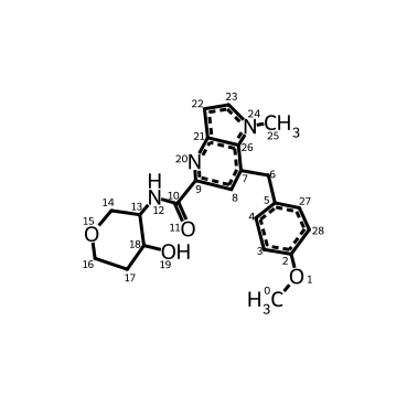 COc1ccc(Cc2cc(C(=O)NC3COCCC3O)nc3ccn(C)c23)cc1